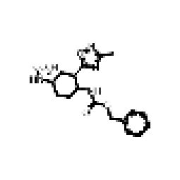 Cc1noc([C@@H]2CC(NC(=O)O)CC[C@@H]2NC(=O)OCc2ccccc2)n1